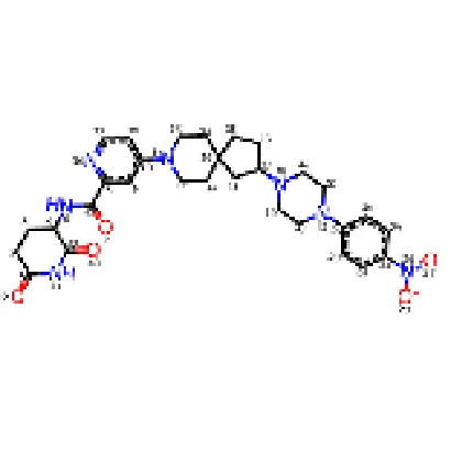 O=C1CCC(NC(=O)c2cc(N3CCC4(CCC(N5CCN(c6ccc([N+](=O)[O-])cc6)CC5)C4)CC3)ccn2)C(=O)N1